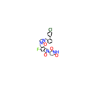 O=C1CCC(N2Cc3cc(CN4CCN(Cc5ccccc5-c5ccc(Cl)cc5)C4=O)c(F)cc3C2=O)C(=O)N1